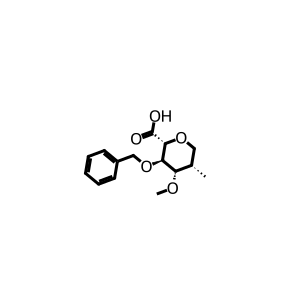 CO[C@@H]1[C@@H](OCc2ccccc2)[C@H](C(=O)O)OC[C@@H]1C